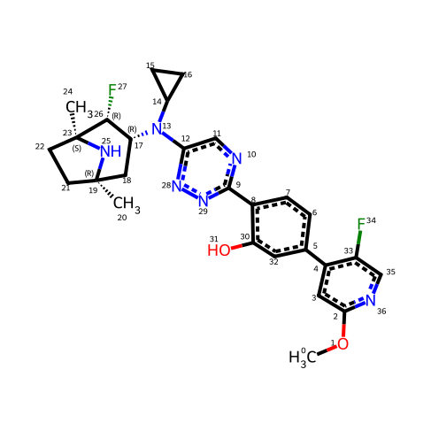 COc1cc(-c2ccc(-c3ncc(N(C4CC4)[C@@H]4C[C@@]5(C)CC[C@](C)(N5)[C@@H]4F)nn3)c(O)c2)c(F)cn1